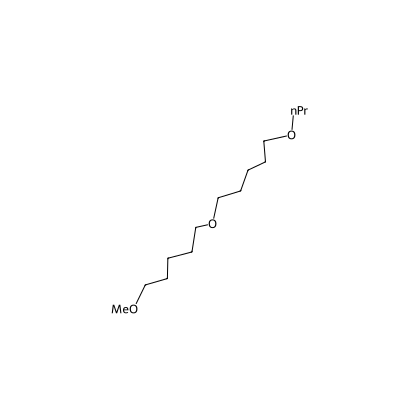 CCCOCCCCCOCCCCCOC